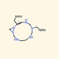 CNC/C1=C/NCN(CNC)CNCCNCN2CN12